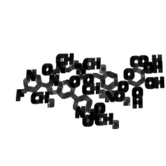 Cc1cc(S(C)(=O)=O)ncc1-c1ccc2c(c1)cc(-c1cncc(F)c1C)n2C(=O)N(C)CCN(C)C(=O)OCc1ccc(O[C@@H]2O[C@H](C(=O)O)[C@@H](O)[C@H](O)[C@H]2O)c([N+](=O)[O-])c1